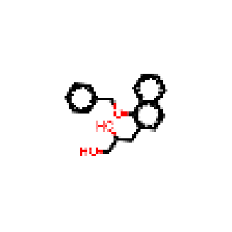 OCC(O)Cc1ccc2ccccc2c1OCc1ccccc1